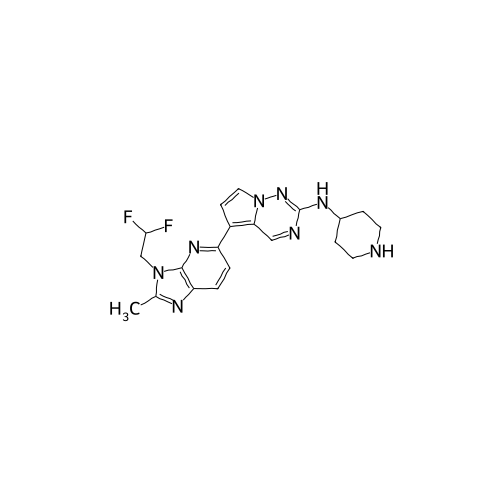 Cc1nc2ccc(-c3ccn4nc(NC5CCNCC5)ncc34)nc2n1CC(F)F